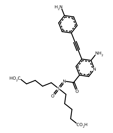 Nc1ccc(C#Cc2cc(C(=O)N=S(=O)(CCCCC(=O)O)CCCCC(=O)O)cnc2N)cc1